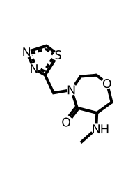 CNC1COCCN(Cc2nncs2)C1=O